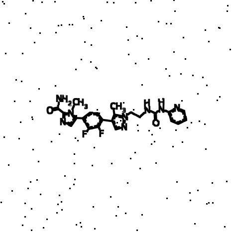 Cc1c(-c2ccc(-c3cnc(C(N)=O)n3C)c(F)c2F)cnn1CCNC(=O)Nc1ccccn1